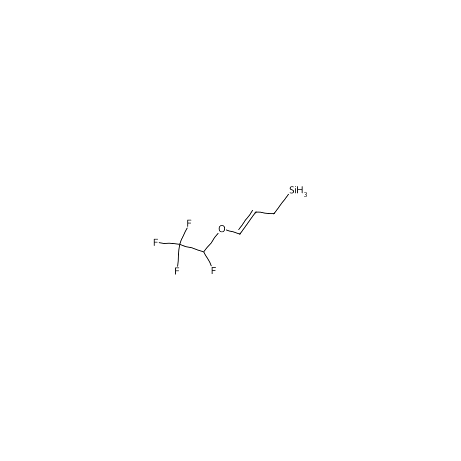 FC(OC=CC[SiH3])C(F)(F)F